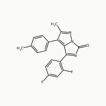 Cc1ccc(-c2c(C)nn3c2C(c2ccc(F)cc2F)=NC3=O)cc1